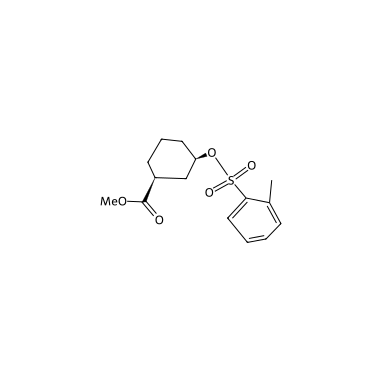 COC(=O)[C@H]1CCC[C@@H](OS(=O)(=O)c2ccccc2C)C1